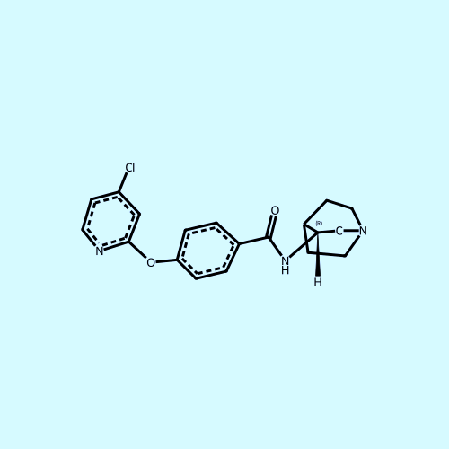 O=C(N[C@H]1CN2CCC1CC2)c1ccc(Oc2cc(Cl)ccn2)cc1